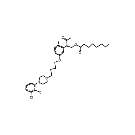 CCCCCCCC(=O)OCN(C(C)=O)c1cc(OCCCCN2CCN(c3cccc(Cl)c3Cl)CC2)ccc1C